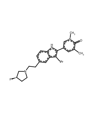 Cc1cc(-c2[nH]c3ccc(CCN4CC[C@@H](F)C4)cc3c2C(C)C)cn(C)c1=O